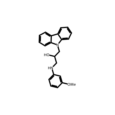 COc1cccc(NCC(O)Cn2c3ccccc3c3ccccc32)c1